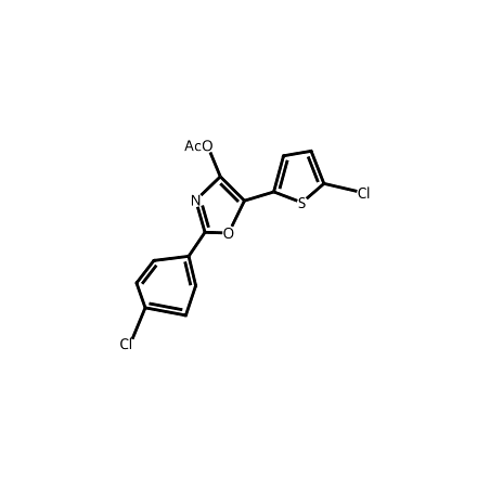 CC(=O)Oc1nc(-c2ccc(Cl)cc2)oc1-c1ccc(Cl)s1